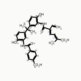 C=C/C(=C\C=C(/C)C(=O)O)C(=O)Nc1cc(C(C)(C)c2ccc(O)c(NC(=O)c3ccc(C(=O)O)cc3)c2)ccc1O